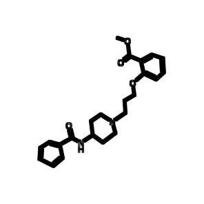 COC(=O)c1ccccc1OCCCN1CCC(NC(=O)c2ccccc2)CC1